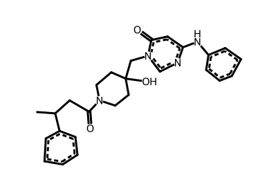 CC(CC(=O)N1CCC(O)(Cn2cnc(Nc3ccccc3)cc2=O)CC1)c1ccccc1